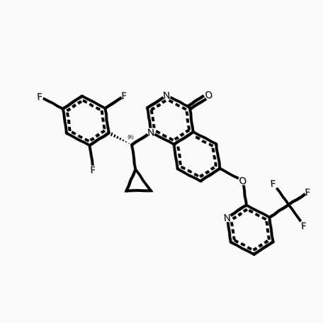 O=c1ncn([C@@H](c2c(F)cc(F)cc2F)C2CC2)c2ccc(Oc3ncccc3C(F)(F)F)cc12